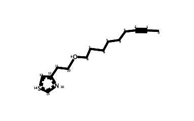 CC#CCCCCCCOCCc1cscn1